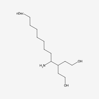 CCCCCCCCCCCCCCCCCC(N)C(CCO)CCO